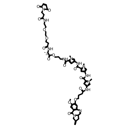 C=C1CC2C=Nc3cc(OCCCC(=O)Nc4cc(C(=O)Nc5cc(C(=O)Nc6cc(C(=O)NCCCOC(=O)[C@H](C)NC(=O)CCOCCOCCNC(=O)CCN7C(=O)C=CC7=O)n(C)c6)n(C)c5)n(C)c4)c(OC)cc3C(=O)N2C1